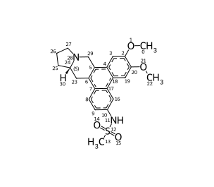 COc1cc2c3c(c4ccc(NS(C)(=O)=O)cc4c2cc1OC)C[C@@H]1CCCN1C3